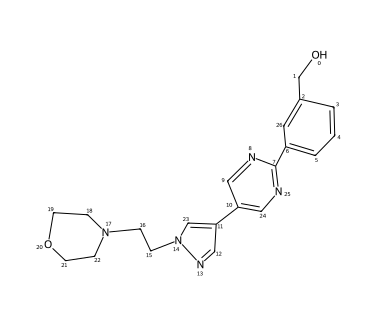 OCc1cccc(-c2ncc(-c3cnn(CCN4CCOCC4)c3)cn2)c1